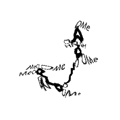 COc1ccc2c(c1)C(=O)NC(c1ccc(OCCCCCCCOc3cc(C4=NOC(c5cc(OC)c(OC)c(OC)c5)C4)ccc3OC)c(OC)c1)N2